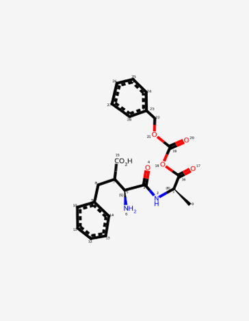 C[C@@H](NC(=O)[C@@H](N)C(Cc1ccccc1)C(=O)O)C(=O)OC(=O)OCc1ccccc1